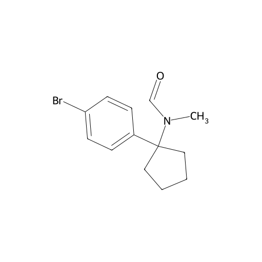 CN(C=O)C1(c2ccc(Br)cc2)CCCC1